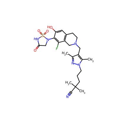 Cc1nn(CCCC(C)(C)C#N)c(C)c1CN1CCc2cc(O)c(N3CC(=O)NS3(=O)=O)c(F)c2C1